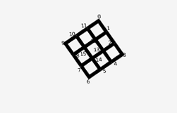 C1C2C3CC4C5CC6C7CC8C1C21C34C56C871